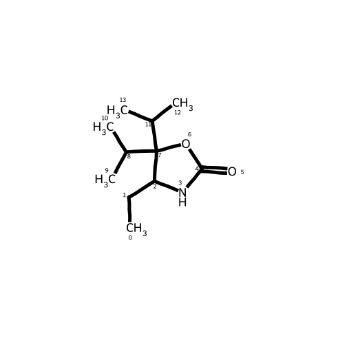 CCC1NC(=O)OC1(C(C)C)C(C)C